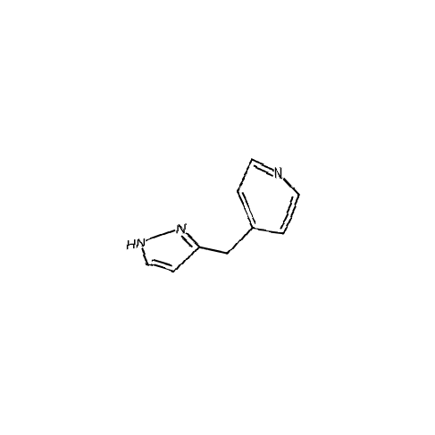 c1cc(Cc2cc[nH]n2)ccn1